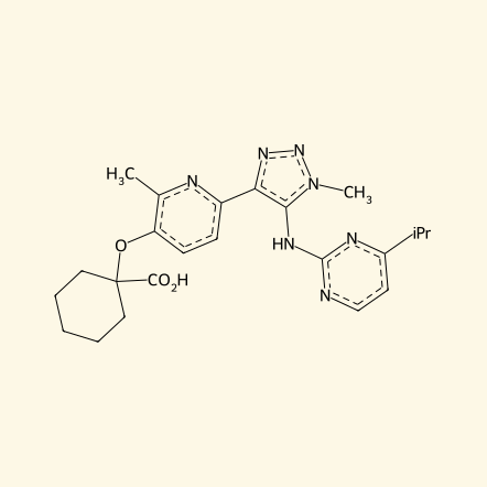 Cc1nc(-c2nnn(C)c2Nc2nccc(C(C)C)n2)ccc1OC1(C(=O)O)CCCCC1